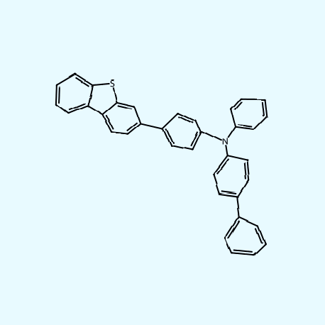 c1ccc(-c2ccc(N(c3ccccc3)c3ccc(-c4ccc5c(c4)sc4ccccc45)cc3)cc2)cc1